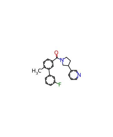 Cc1ccc(C(=O)N2CCC(c3cccnc3)C2)cc1-c1cccc(F)c1